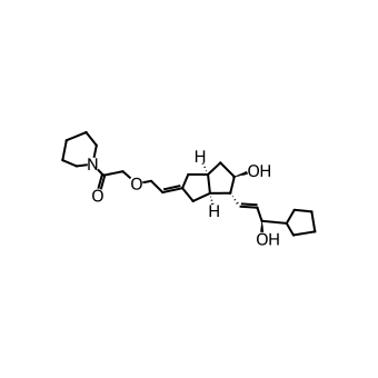 O=C(COCC=C1C[C@H]2C[C@@H](O)[C@H](/C=C/[C@H](O)C3CCCC3)[C@H]2C1)N1CCCCC1